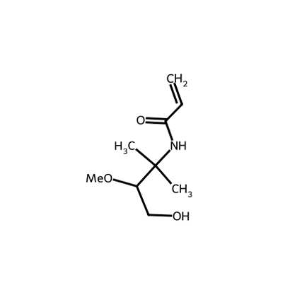 C=CC(=O)NC(C)(C)C(CO)OC